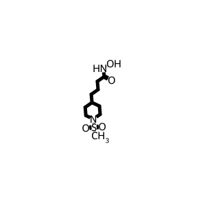 CS(=O)(=O)N1CCC(CCCC(=O)NO)CC1